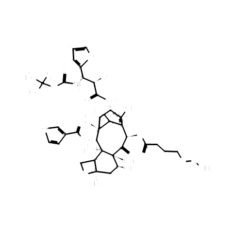 CSSCCCC(=O)O[C@H]1C(=O)[C@@]2(C)[C@H]([C@H](OC(=O)c3ccoc3)[C@]3(O)C[C@H](OC(=O)[C@H](O)[C@@H](NC(=O)OC(C)(C)C)c4ccco4)C(C)=C1C3(C)C)[C@]1(O)CO[C@@H]1C[C@@H]2O